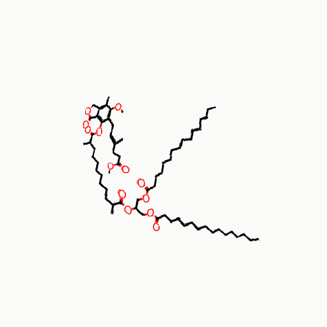 CCCCCCCCCCCCCCCC(=O)OCC(COC(=O)CCCCCCCCCCCCCCC)OC(=O)C(C)CCCCCCCCC(C)C(=O)Oc1c(C/C=C(\C)CCC(=O)OC)c(OC)c(C)c2c1C(=O)OC2